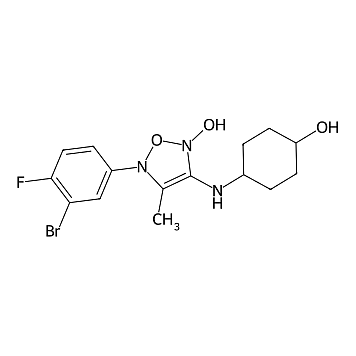 CC1=C(NC2CCC(O)CC2)N(O)ON1c1ccc(F)c(Br)c1